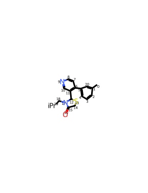 Cc1cccc(-c2ccncc2C2SCC(=O)N2CC(C)C)c1